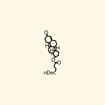 CCCCCCCCCCCCC(=O)O[C@@H]1CC[C@H]2[C@@H]3CCC4=CC(=O)CC[C@]4(C)[C@H]3CC[C@]12C